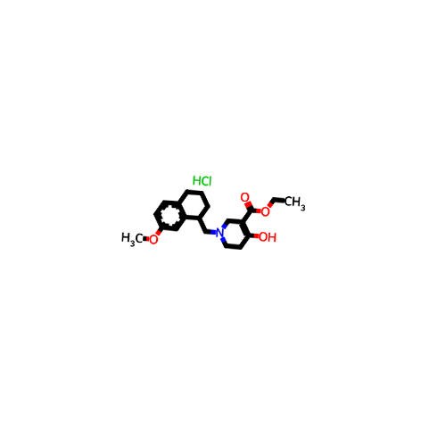 CCOC(=O)C1=C(O)CCN(CC2CCCc3ccc(OC)cc32)C1.Cl